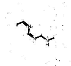 C/C=N\C=N/CNC